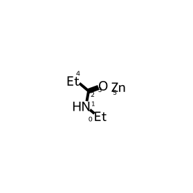 CCNC(=O)CC.[Zn]